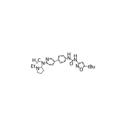 CCN1CCCC1N(C)c1ccc(-c2ccc(NC(=O)Nc3cc(C(C)(C)C)on3)cc2)cn1